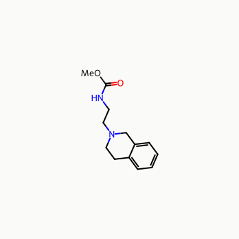 COC(=O)NCCN1CCc2ccccc2C1